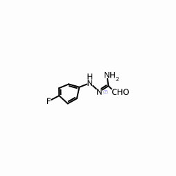 N/C(C=O)=N\Nc1ccc(F)cc1